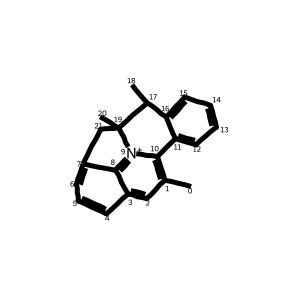 Cc1cc2cccc3c2[n+]2c1-c1ccccc1C(C)C2(C)C3